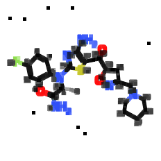 C[C@H](C(N)=O)N(c1ccc(F)cc1)c1nc(N)c(C(=O)c2cc(CN3CCCCC3)no2)s1